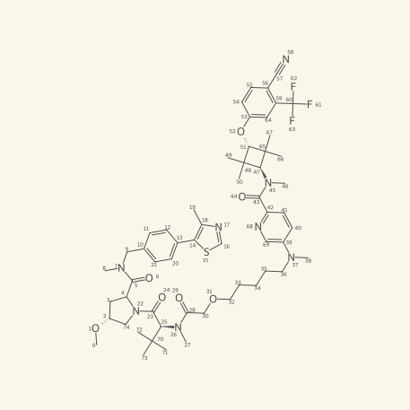 CO[C@@H]1CC(C(=O)N(C)Cc2ccc(-c3scnc3C)cc2)N(C(=O)[C@@H](N(C)C(=O)COCCCCCN(C)c2ccc(C(=O)N(C)[C@H]3C(C)(C)[C@H](Oc4ccc(C#N)c(C(F)(F)F)c4)C3(C)C)nc2)C(C)(C)C)C1